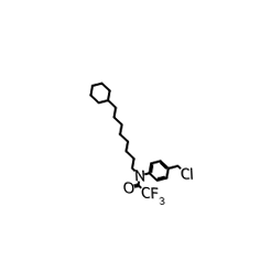 O=C(N(CCCCCCCCC1CCCCC1)c1ccc(CCl)cc1)C(F)(F)F